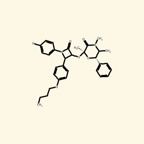 CCCCOc1ccc(C2C(O[C@]3(C)O[C@@H](c4ccccc4)C(C)N(C)C3=O)C(=O)N2c2ccc(F)cc2)cc1